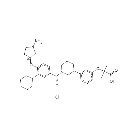 CC(C)(Oc1cccc(C2CCCN(C(=O)c3ccc(O[C@H]4CCN(N)C4)c(C4CCCCC4)c3)C2)c1)C(=O)O.Cl